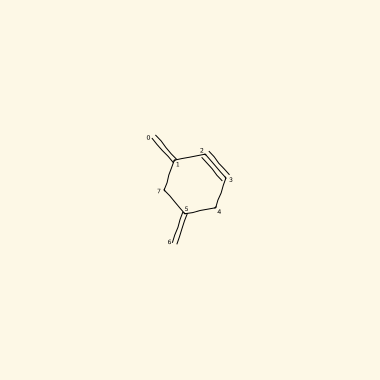 C=C1C#CCC(=C)C1